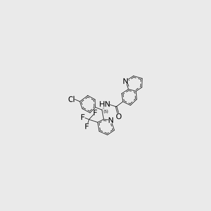 O=C(N[C@@H](c1ccc(Cl)cc1)c1ncccc1C(F)(F)F)c1ccc2cccnc2c1